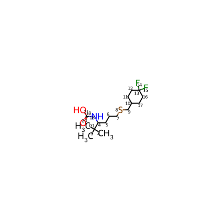 CC(C)(C)C(CCCSCC1CCC(F)(F)CC1)NC(=O)O